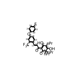 CCCC1=C(O)C(CCC)(CCC)C(=O)C(C(=O)/C=C/c2ccc(Oc3ccc(F)cc3)cc2C(F)(F)F)=C1O